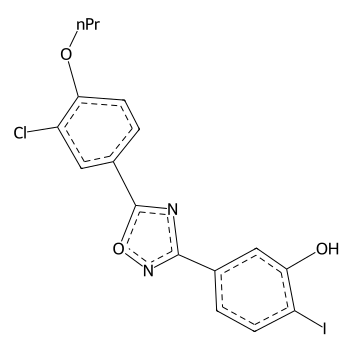 CCCOc1ccc(-c2nc(-c3ccc(I)c(O)c3)no2)cc1Cl